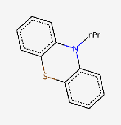 CCCN1c2ccccc2Sc2ccccc21